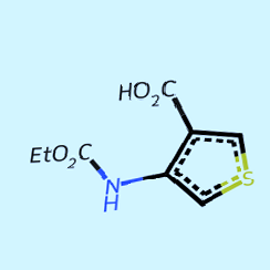 CCOC(=O)Nc1cscc1C(=O)O